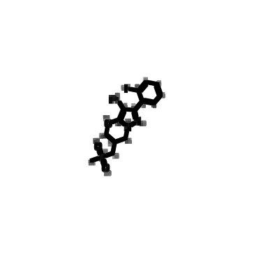 CC(C)c1c(-c2ccccc2F)nn2c1OCC(CS(C)(=O)=O)C2